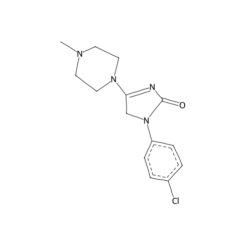 CN1CCN(C2=NC(=O)N(c3ccc(Cl)cc3)C2)CC1